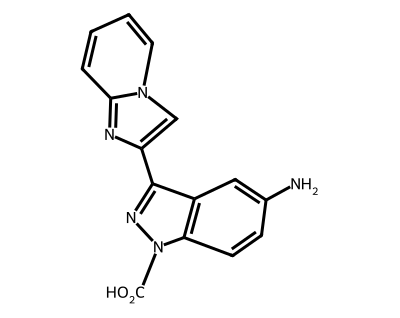 Nc1ccc2c(c1)c(-c1cn3ccccc3n1)nn2C(=O)O